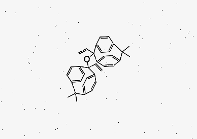 C=CC1(OC2(C=C)c3ccc(cc3)C(C)(C)c3ccc2cc3)c2ccc(cc2)C(C)(C)c2ccc1cc2